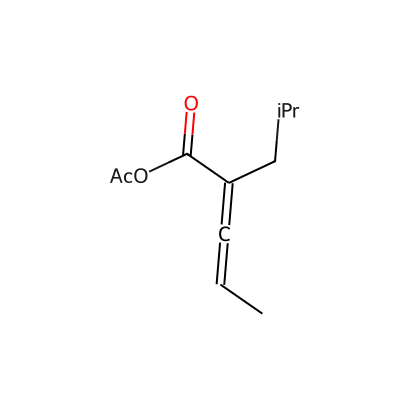 CC=C=C(CC(C)C)C(=O)OC(C)=O